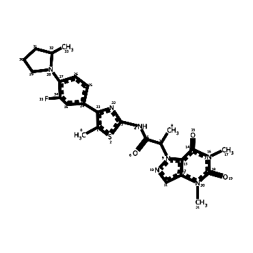 Cc1sc(NC(=O)C(C)n2ncc3c2c(=O)n(C)c(=O)n3C)nc1-c1ccc(N2CCCC2C)c(F)c1